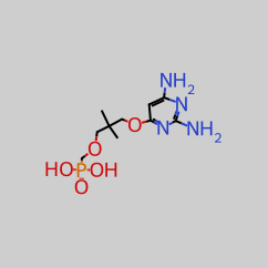 CC(C)(COCP(=O)(O)O)COc1cc(N)nc(N)n1